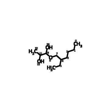 CCCCC(CC)COC(O)C(C)O